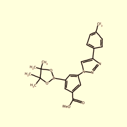 COC(=O)c1cc(B2OC(C)(C)C(C)(C)O2)cc(-n2cc(-c3ccc(C(F)(F)F)cc3)nn2)c1